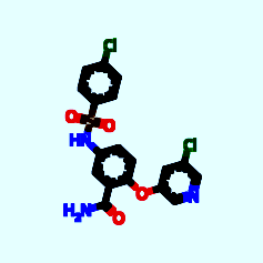 NC(=O)c1cc(NS(=O)(=O)c2ccc(Cl)cc2)ccc1Oc1cncc(Cl)c1